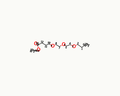 CC(C)CCOCCOCCOCCCC(=O)OC(C)C